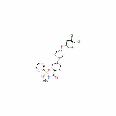 CCCCN(C(=O)C1CCC(N2CCC(Oc3ccc(Cl)c(Cl)c3)CC2)CC1)S(=O)(=O)c1ccccc1